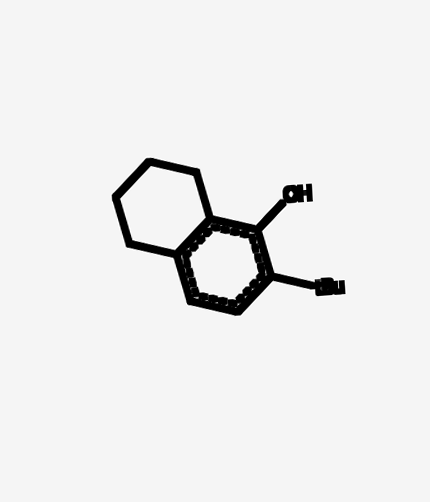 CC(C)(C)c1ccc2c(c1O)CCCC2